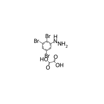 NNc1cc(Br)cc(Br)c1Br.O=C(O)C(=O)O